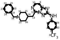 FC(F)(F)c1ccc(Nc2nc3ccnc(CC4CCN(Cc5ccccc5)CC4)n3n2)cc1